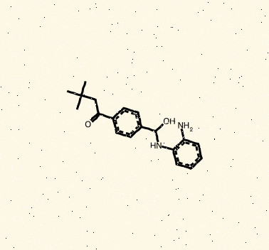 CC(C)(C)CC(=O)c1ccc(C(O)Nc2ccccc2N)cc1